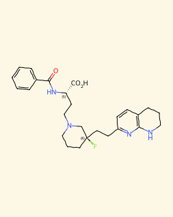 O=C(N[C@@H](CCN1CCC[C@@](F)(CCc2ccc3c(n2)NCCC3)C1)C(=O)O)c1ccccc1